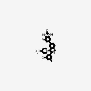 Cc1cc(Cl)cc(-c2nnc3ccc(-c4cc(F)c5[nH]c(=O)[nH]c5c4)cc3c2N2CCC(N)CC2)c1